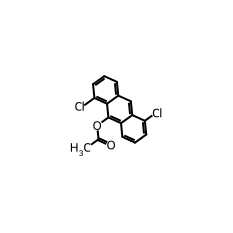 CC(=O)Oc1c2cccc(Cl)c2cc2cccc(Cl)c12